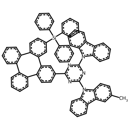 Cc1ccc2c(c1)c1ccccc1n2-c1nc(-c2ccc3c(c2)-c2cc([Si](c4ccccc4)(c4ccccc4)c4ccccc4)ccc2-c2ccccc2-c2ccccc2-3)nc(-n2c3ccccc3c3ccccc32)n1